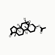 CC(=O)O[C@H]1CC[C@]2(C)[C@H]3CC[C@]4(C)C(=O)CC[C@H]4[C@@H]3C[C@@H]3O[C@@]32C1